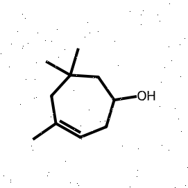 CC1=CCC(O)CC(C)(C)C1